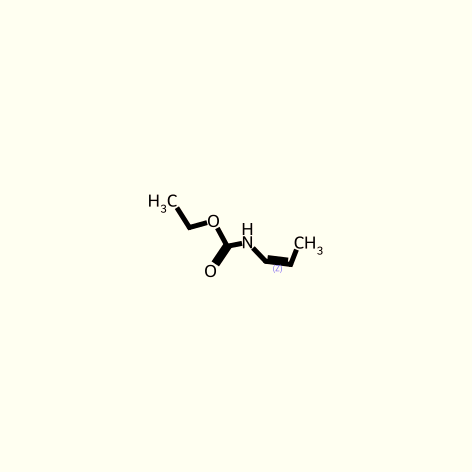 C/C=C\NC(=O)OCC